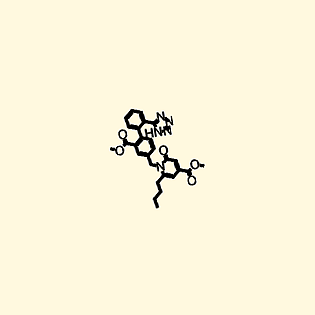 CCCCc1cc(C(=O)OC)cc(=O)n1Cc1ccc(-c2ccccc2-c2nnn[nH]2)c(C(=O)OC)c1